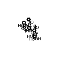 CCC1CC(C(=O)OC)C[C@@H](O[C@@H]2O[C@@H](COC(=O)c3ccccc3)[C@H](O)C(O[C@@H](CC3CCCCC3)C(=O)O)C2NC(C)=O)[C@@H]1OC1O[C@@H](C)[C@H](O)C(O)[C@@H]1O